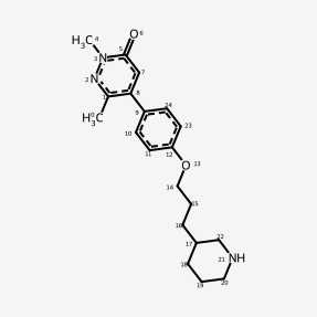 Cc1nn(C)c(=O)cc1-c1ccc(OCCCC2CCCNC2)cc1